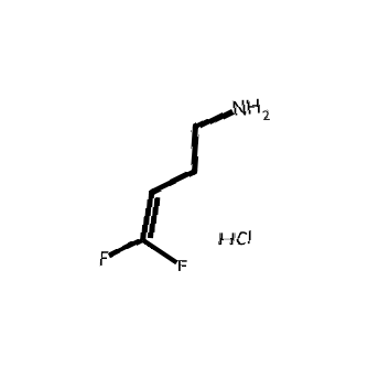 Cl.NCCC=C(F)F